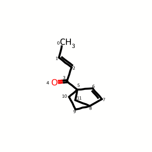 C/C=C/C(=O)C12C=CC(CC1)C2